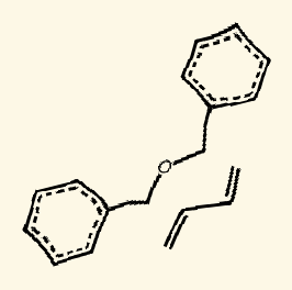 C=CC=C.c1ccc(COCc2ccccc2)cc1